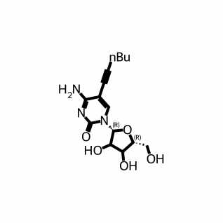 CCCCC#Cc1cn([C@@H]2O[C@H](CO)C(O)C2O)c(=O)nc1N